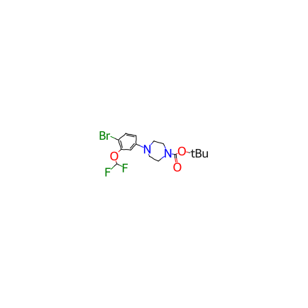 CC(C)(C)OC(=O)N1CCN(c2ccc(Br)c(OC(F)F)c2)CC1